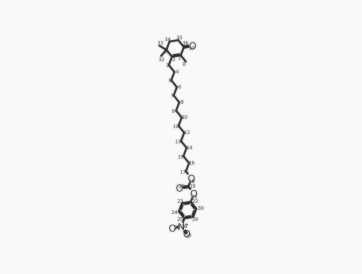 CC1=C(CCCCCCCCCCCCCCCOC(=O)Oc2ccc([N+](=O)[O-])cc2)C(C)(C)CCC1=O